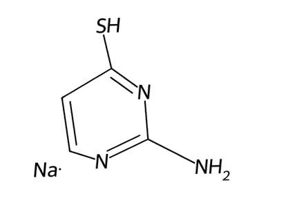 Nc1nccc(S)n1.[Na]